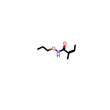 CC=C(C)C(=O)NOCCC